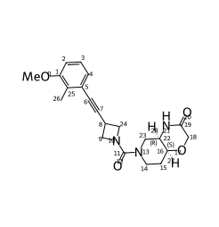 COc1cccc(C#CC2CN(C(=O)N3CC[C@@H]4OCC(=O)N[C@@H]4C3)C2)c1C